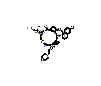 CCC(=O)N[S@]1(=O)=NC(=O)c2ccc3c(c2)N(C[C@@]2(CCCc4cc(Cl)ccc42)CO3)C[C@@]23CC2[C@H]3[C@@H](OCCN2CCOCC2)/C=C/CCC1